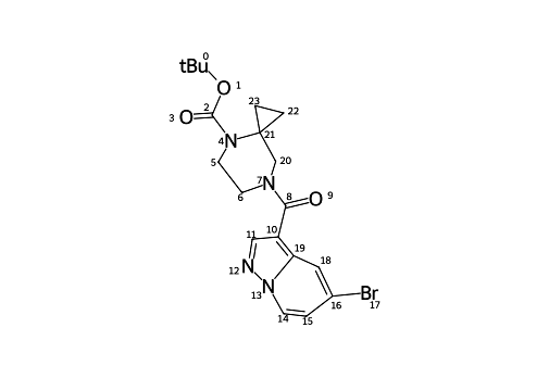 CC(C)(C)OC(=O)N1CCN(C(=O)c2cnn3ccc(Br)cc23)CC12CC2